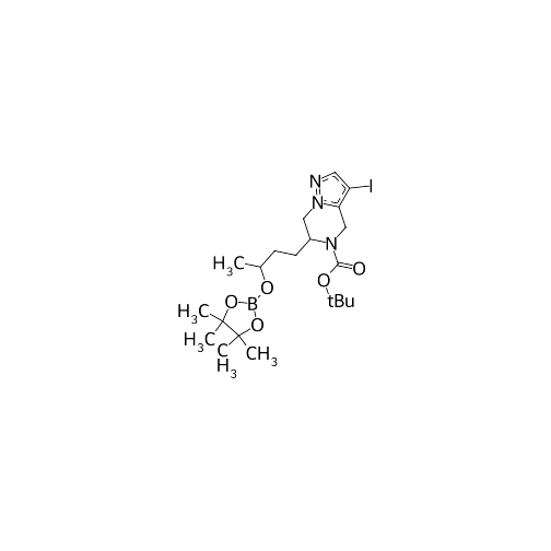 CC(CCC1Cn2ncc(I)c2CN1C(=O)OC(C)(C)C)OB1OC(C)(C)C(C)(C)O1